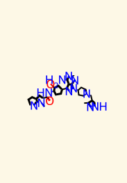 COc1cc(-c2nn(C3CCN(Cc4c[nH]nc4C)CC3)c3ncnc(N)c23)ccc1NC(=O)c1cc2cccnc2n1C